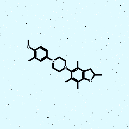 COc1ccc(N2CCN(c3c(C)c(C)c4c(c3C)CC(C)O4)CC2)cc1C